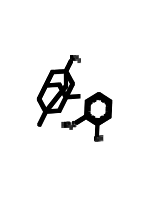 CC12CC3CC(C)(C1)CC(N)(C3)C2.O=C(O)c1ccccc1O